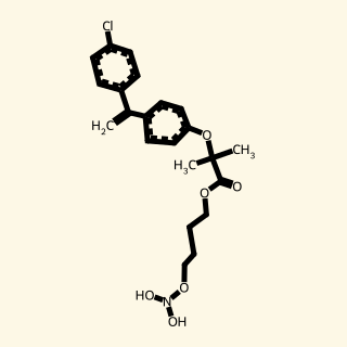 C=C(c1ccc(Cl)cc1)c1ccc(OC(C)(C)C(=O)OCCCCON(O)O)cc1